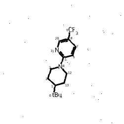 CC(C)(C)C1CCN(c2ccc(C(F)(F)F)cn2)CC1